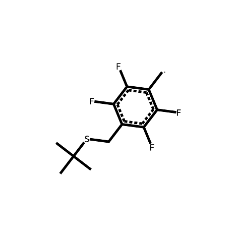 [CH2]c1c(F)c(F)c(CSC(C)(C)C)c(F)c1F